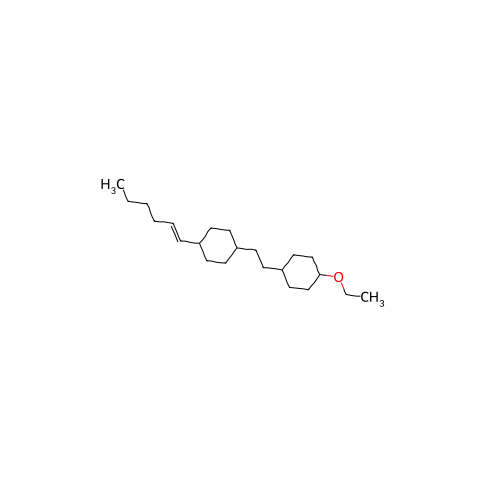 CCCC/C=C/C1CCC(CCC2CCC(OCC)CC2)CC1